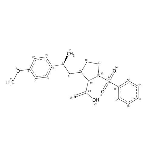 COc1ccc([C@@H](C)CC2CCN(S(=O)(=O)c3ccccc3)C2C(O)=S)cc1